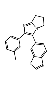 Cc1cccc(-c2nc3n(c2-c2ccc4ncsc4c2)CCC3)n1